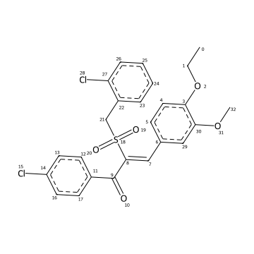 CCOc1ccc(C=C(C(=O)c2ccc(Cl)cc2)S(=O)(=O)Cc2ccccc2Cl)cc1OC